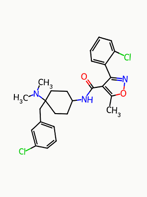 Cc1onc(-c2ccccc2Cl)c1C(=O)NC1CCC(Cc2cccc(Cl)c2)(N(C)C)CC1